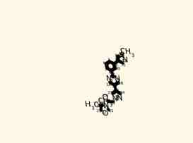 Cn1cc(-c2cccc(-c3ncc(-c4cnn(CC(=O)N5COCC5(C)C)c4)cn3)c2)cn1